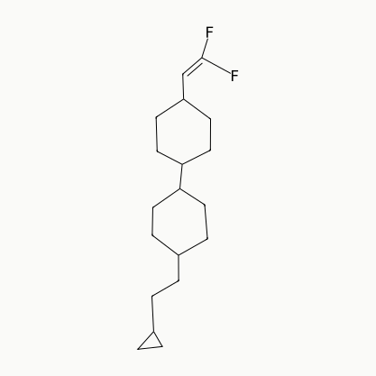 FC(F)=CC1CCC(C2CCC(CCC3CC3)CC2)CC1